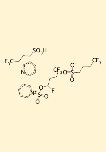 O=S(=O)(O)CCCC(F)(F)F.O=S(=O)(OC(F)CCC(F)(F)F)[n+]1ccccc1.O=S(=O)([O-])CCCC(F)(F)F.c1ccncc1